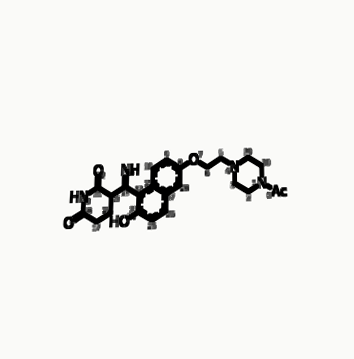 CC(=O)N1CCN(CCOc2ccc3c(C(=N)C4CCC(=O)NC4=O)c(O)ccc3c2)CC1